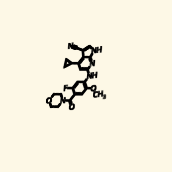 COc1cc(C(=O)N2CCOCC2)c(F)cc1Nc1cc(C2CC2)c2c(C#N)c[nH]c2n1